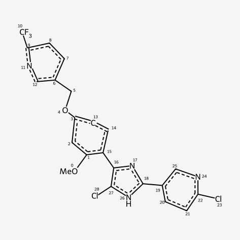 COc1cc(OCc2ccc(C(F)(F)F)nc2)ccc1-c1nc(-c2ccc(Cl)nc2)[nH]c1Cl